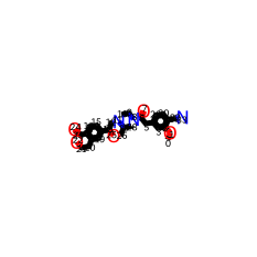 COc1cc(CC(=O)N2CCN3CC(c4ccc5c(c4)CCOC5=O)OCC3C2)ccc1C#N